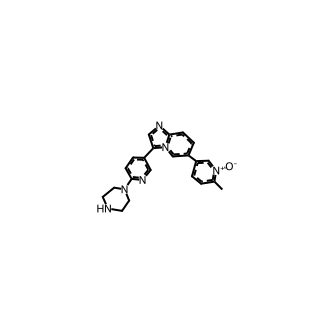 Cc1ccc(-c2ccc3ncc(-c4ccc(N5CCNCC5)nc4)n3c2)c[n+]1[O-]